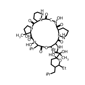 CCC1OC(O)(C(C)(O)C(=O)NC2C(=O)N3NCCCC3C(=O)N(O)CC(=O)N3NCCCC3C(=O)N3CCC(C)(O)C3C(=O)N(O)C(C(C)C)C(=O)OC2C(C)C)CCC1CC(C)C